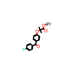 CC(C)OC(=O)C(C)(C)Oc1ccc(C(=O)c2ccc(F)cc2)cc1